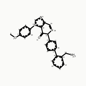 COc1ccc(-n2cnc3c2C(=O)C(c2ccc(-c4ccccc4CN)cc2)N=C3)cc1